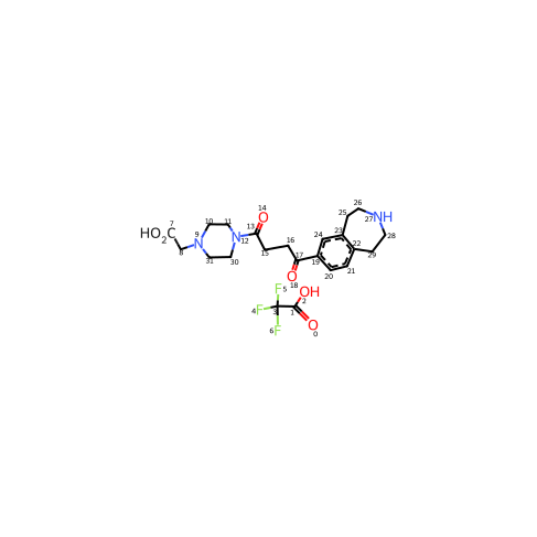 O=C(O)C(F)(F)F.O=C(O)CN1CCN(C(=O)CCC(=O)c2ccc3c(c2)CCNCC3)CC1